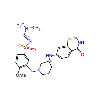 COc1ccc(S(=O)(=O)/N=C/N(C)C)cc1CN1CCC[C@@H](Nc2ccc3c(=O)[nH]ccc3c2)C1